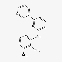 Cc1c(N)cccc1Nc1nccc(-c2cccnc2)n1